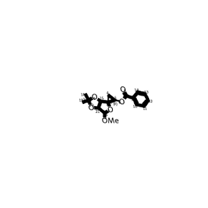 COC1O[C@]2(C[C@H]2OC(=O)c2ccccc2)C2OC(C)(C)OC12